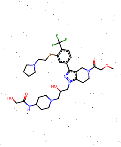 COCC(=O)N1CCc2c(c(-c3ccc(C(F)(F)F)c(SCCN4CCCC4)c3)nn2CC(O)CN2CCC(NC(=O)CO)CC2)C1